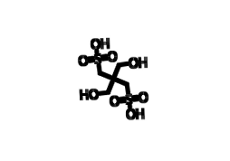 O=S(=O)(O)CC(CO)(CO)CS(=O)(=O)O